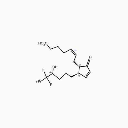 CCCC(F)(F)[C@H](O)CCC[C@@H]1C=CC(=O)[C@@H]1C/C=C\CCCC(=O)O